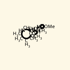 COc1ccc(N=C2O[C@H]3[C@H](OC4OC(=O)C(C)CC(C)CC(C)CC(C)CNC(C)CC4C)O[C@H](C)C[C@@H]3N2C)cc1